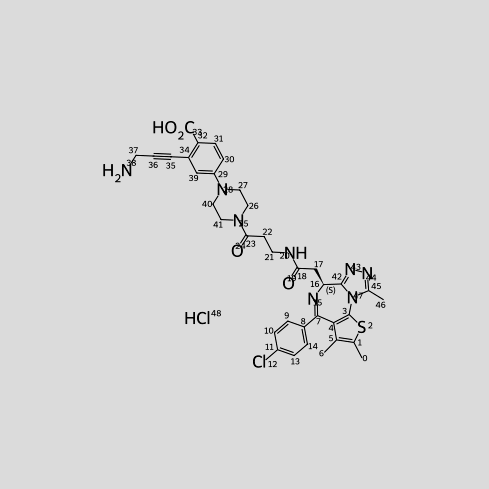 Cc1sc2c(c1C)C(c1ccc(Cl)cc1)=N[C@@H](CC(=O)NCCC(=O)N1CCN(c3ccc(C(=O)O)c(C#CCN)c3)CC1)c1nnc(C)n1-2.Cl